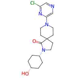 O=C1N([C@H]2CC[C@@H](O)CC2)CCC12CCN(c1cncc(Cl)n1)CC2